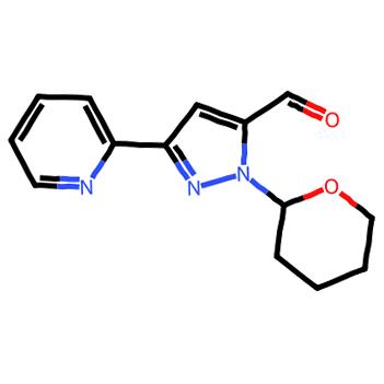 O=Cc1cc(-c2ccccn2)nn1C1CCCCO1